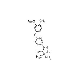 CCC(C)(N)C(=O)Nc1ccc(Oc2ccc(C)c(OC)c2)nc1